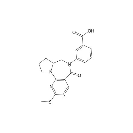 CSc1ncc2c(n1)N1CCCC1CN(c1cccc(C(=O)O)c1)C2=O